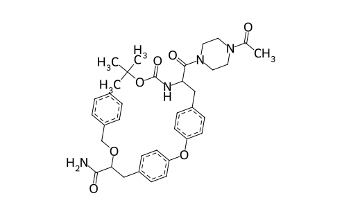 CC(=O)N1CCN(C(=O)C(Cc2ccc(Oc3ccc(CC(OCc4ccccc4)C(N)=O)cc3)cc2)NC(=O)OC(C)(C)C)CC1